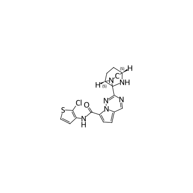 O=C(Nc1ccsc1Cl)c1ccc2cnc(N3C[C@@H]4CC[C@H]3CN4)nn12